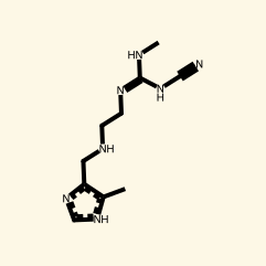 CN/C(=N/CCNCc1nc[nH]c1C)NC#N